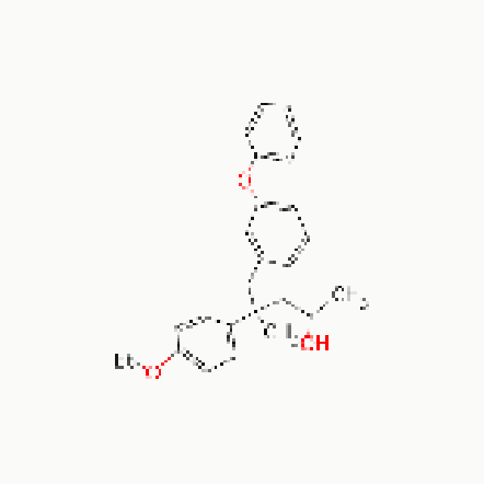 CCOc1ccc(C(C)(Cc2cccc(Oc3ccccc3)c2)CC(C)O)cc1